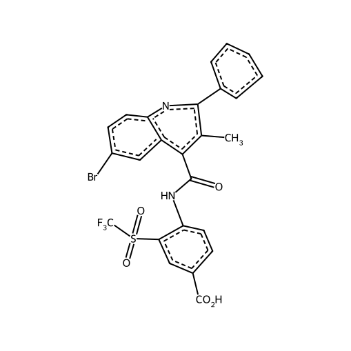 Cc1c(-c2ccccc2)nc2ccc(Br)cc2c1C(=O)Nc1ccc(C(=O)O)cc1S(=O)(=O)C(F)(F)F